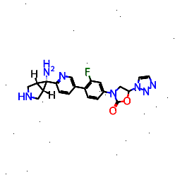 N[C@]1(c2ccc(-c3ccc(N4CC(n5ccnn5)OC4=O)cc3F)cn2)[C@@H]2CNC[C@@H]21